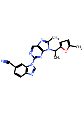 Cc1ccc([C@@H](C)n2c(C)nc3cnc(-n4cnc5ccc(C#N)cc54)nc32)o1